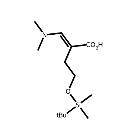 CN(C)/C=C(\CCO[Si](C)(C)C(C)(C)C)C(=O)O